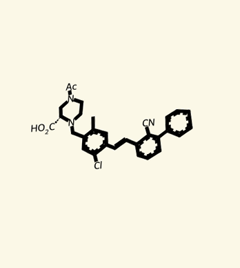 CC(=O)N1CCN(Cc2cc(Cl)c(/C=C/c3cccc(-c4ccccc4)c3C#N)cc2C)[C@H](C(=O)O)C1